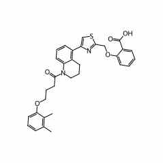 Cc1cccc(OCCCC(=O)N2CCCc3c(-c4csc(COc5ccccc5C(=O)O)n4)cccc32)c1C